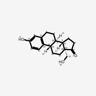 O=C1CC[C@H]2[C@@H]3CCc4cc(O)ccc4[C@H]3CC[C@]12CO